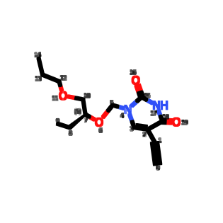 C#Cc1cn(CO[C@@H](CC)COCCC)c(=O)[nH]c1=O